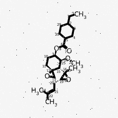 CCC1CCC(C(=O)O[C@@H]2CC[C@]3(CO3)[C@@H](C3(C)O[C@@H]3CC=C(C)C)[C@@H]2OC)CC1